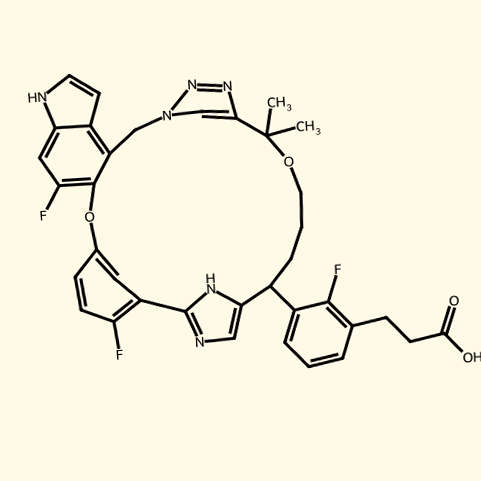 CC1(C)OCCCC(c2cccc(CCC(=O)O)c2F)c2cnc([nH]2)-c2cc(ccc2F)Oc2c(F)cc3[nH]ccc3c2Cn2cc1nn2